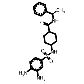 C[C@@H](NC(=O)C1CCC(NS(=O)(=O)c2ccc(N)c(N)c2)CC1)c1ccccc1